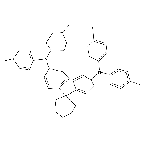 CC1=CC=C(N(c2ccc(C)cc2)C2C=CC(C3(C4=CCC(N(C5=CCC(C)C=C5)C5CCC(C)CC5)C=C4)CCCCC3)=CC2)CC1